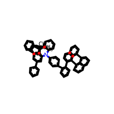 CC1(C)c2ccccc2-c2cc(-c3ccccc3)cc(N(c3ccc(-c4ccccc4-c4ccccc4-c4cccc5cccc(-c6ccccc6)c45)cc3)c3ccccc3-c3ccccc3)c21